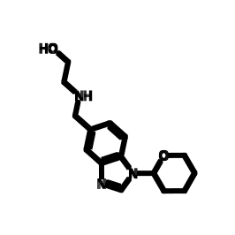 OCCNCc1ccc2c(c1)ncn2C1CCCCO1